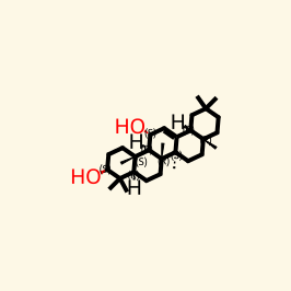 CC1(C)CC[C@]2(C)CC[C@]3(C)C(=C[C@@H](O)[C@@H]4[C@@]5(C)CC[C@H](O)C(C)(C)[C@@H]5CC[C@]43C)[C@@H]2C1